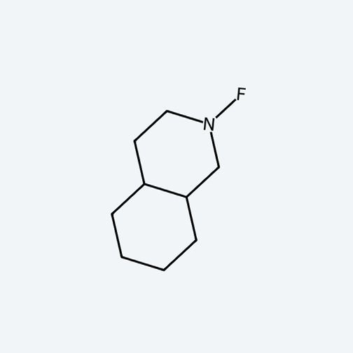 FN1CCC2CCCCC2C1